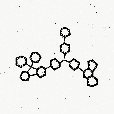 c1ccc(-c2ccc(N(c3ccc(-c4ccc5c(c4)C(c4ccccc4)(c4ccccc4)c4ccccc4-5)cc3)c3ccc(-c4cc5ccccc5c5ccccc45)cc3)cc2)cc1